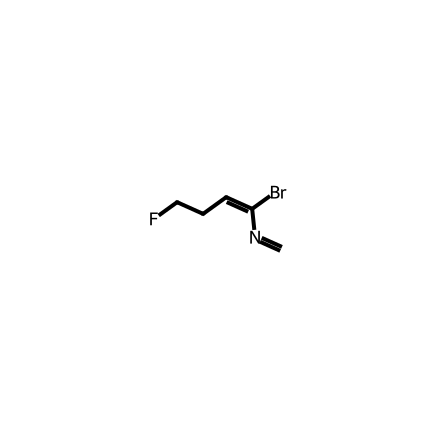 C=N/C(Br)=C\CCF